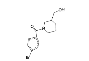 O=C(c1ccc(Br)cc1)N1CCCC(CO)C1